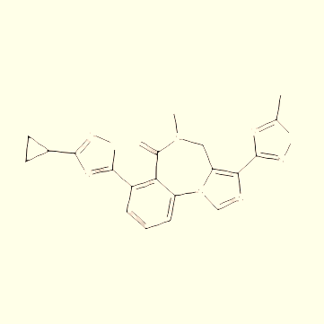 Cc1nc(-c2ncn3c2CN(C)C(=O)c2c(-c4nc(C5CC5)no4)cccc2-3)no1